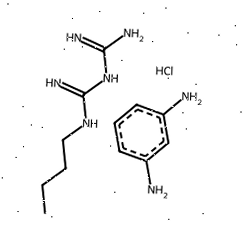 CCCCNC(=N)NC(=N)N.Cl.Nc1cccc(N)c1